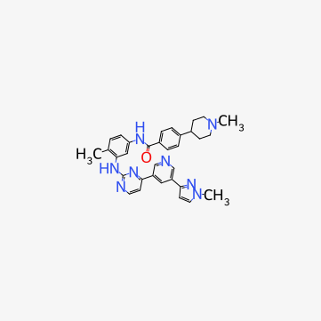 Cc1ccc(NC(=O)c2ccc(C3CCN(C)CC3)cc2)cc1Nc1nccc(-c2cncc(-c3ccn(C)n3)c2)n1